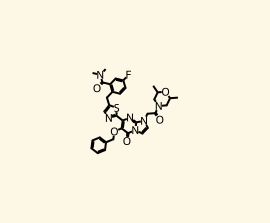 CC1CN(C(=O)Cn2ccn3c(=O)c(OCc4ccccc4)c(-c4ncc(Cc5ccc(F)cc5C(=O)N(C)C)s4)nc23)CC(C)O1